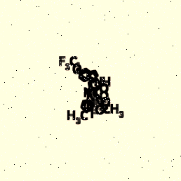 Cc1ccc(-n2nc3c(c2C(=O)NS(C)(=O)=O)C(=O)N[C@@]2(CCc4cc(OCC(F)(F)F)ccc42)C3)cc1F